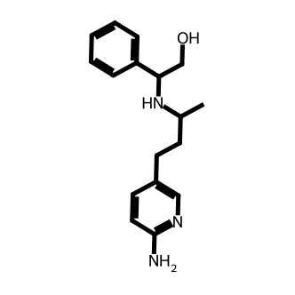 CC(CCc1ccc(N)nc1)NC(CO)c1ccccc1